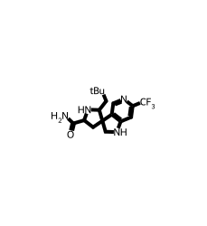 CC(C)(C)CC1NC(C(N)=O)CC12CNc1cc(C(F)(F)F)ncc12